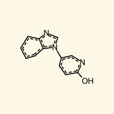 Oc1ccc(-n2cnc3ccccc32)cn1